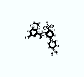 CC(Nc1cc(N2CCC(N(C)C)CC2)ccc1S(C)(=O)=O)c1cc(Cl)cc2c1OCCO2